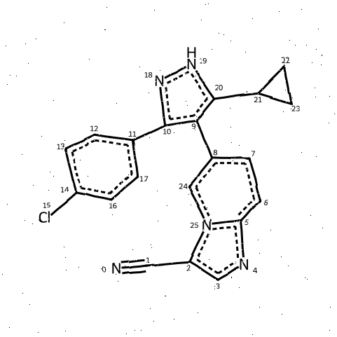 N#Cc1cnc2ccc(-c3c(-c4ccc(Cl)cc4)n[nH]c3C3CC3)cn12